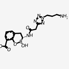 NCCCn1nnc(CC(=O)N[C@H]2Cc3cccc(C(=O)O)c3OB2O)n1